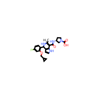 CC1=C(C(=O)N[C@@H]2CCN(C(=O)O)C2)c2[nH]ccc2C(c2ccc(F)cc2OCC2CC2)N1